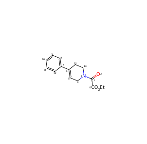 CCOC(=O)C(=O)N1CC=C(c2ccccc2)CC1